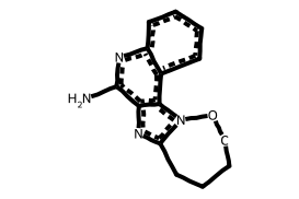 Nc1nc2ccccc2c2c1nc1n2OCCCC1